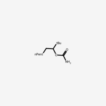 CCCCCCC(OC(N)=O)C(C)(C)C